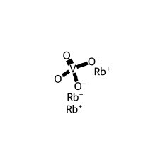 [O]=[V]([O-])([O-])[O-].[Rb+].[Rb+].[Rb+]